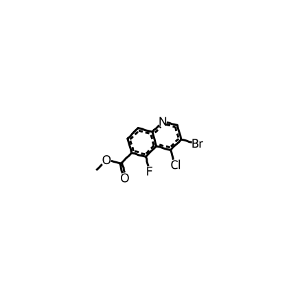 COC(=O)c1ccc2ncc(Br)c(Cl)c2c1F